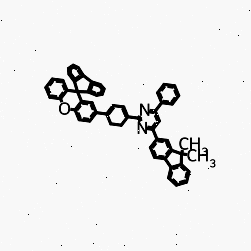 CC1(C)c2ccccc2-c2ccc(-c3cc(-c4ccccc4)nc(C4=CC=C(c5ccc6c(c5)C5(c7ccccc7O6)c6ccccc6-c6ccccc65)CC4)n3)cc21